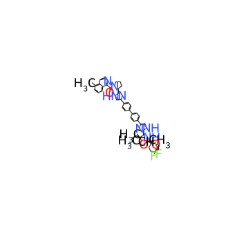 Cc1cccc2c(C(=O)N3CCCC3c3nc(-c4ccc(-c5ccc(-c6c[nH]c([C@@H](NC(=O)[C@@]7(C)CCC(F)(F)CO7)C(C)(C)C)n6)cc5)cc4)c[nH]3)nccc12